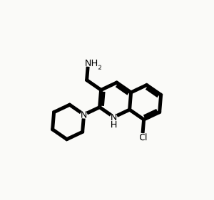 NCC1=C(N2CCCCC2)NC2C(Cl)=CC=CC2=C1